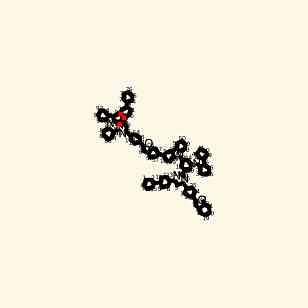 c1ccc(-c2ccc(-c3cc(-c4ccc(-c5cc6ccccc6o5)cc4)nc(-c4cc(-n5c6ccccc6c6ccccc65)cc(-n5c6ccccc6c6cc(-c7ccc8cc(-c9ccc(-c%10cc(-c%11ccc(-c%12ccccc%12)cc%11)nc(-c%11ccccc%11-n%11c%12ccccc%12c%12ccccc%12%11)n%10)cc9)oc8c7)ccc65)c4)n3)cc2)cc1